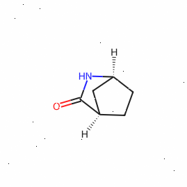 O=C1N[C@H]2CC[C@@H]1C2